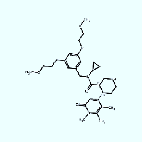 COCCCc1cc(CN(C(=O)[C@H]2CNCC[C@@H]2c2cc(=O)n(C)c(C)c2C)C2CC2)cc(OCCOC)c1